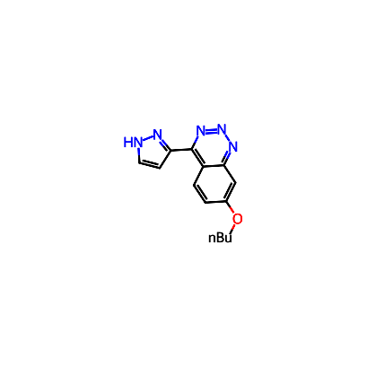 CCCCOc1ccc2c(-c3cc[nH]n3)nnnc2c1